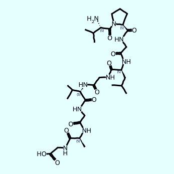 CC(C)C[C@H](NC(=O)CNC(=O)[C@@H]1CCCN1C(=O)[C@@H](N)C(C)C)C(=O)NCC(=O)N[C@H](C(=O)NCC(=O)N[C@@H](C)C(=O)NCC(=O)O)C(C)C